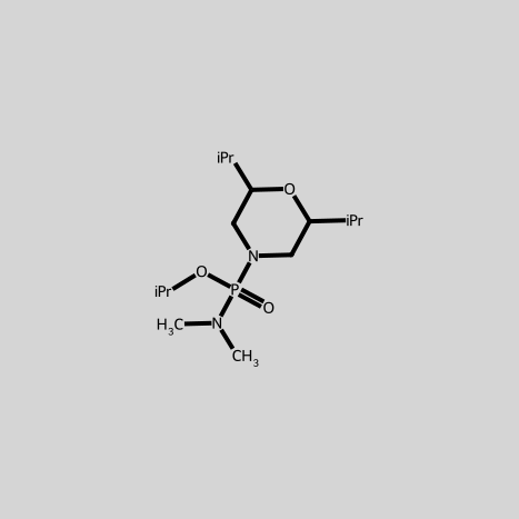 CC(C)OP(=O)(N(C)C)N1CC(C(C)C)OC(C(C)C)C1